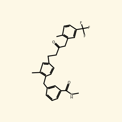 CNC(=O)c1cccc(Cc2ccc(CCC(=O)Cc3cc(C(F)(F)F)ccc3C)cc2C)c1